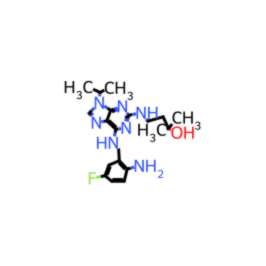 CC(C)n1cnc2c(NCc3cc(F)ccc3N)nc(NCCC(C)(C)O)nc21